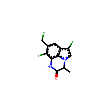 CC1C(=O)Nc2c(F)c(CCl)cc3c(F)cn1c23